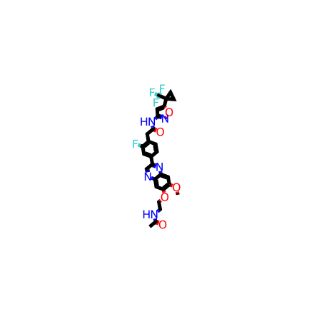 COc1cc2nc(-c3ccc(CC(=O)Nc4cc(C5(C(F)(F)F)CC5)on4)c(F)c3)cnc2cc1OCCNC(C)=O